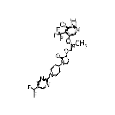 C[C@@H](COC1CCN(C2CCN(c3ncc(C(F)F)cn3)CC2)C1=O)Oc1cn[nH]c(=O)c1C(F)(F)F